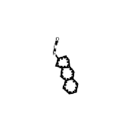 O=C=Nc1[c]c2cc3ccccc3cc2cc1